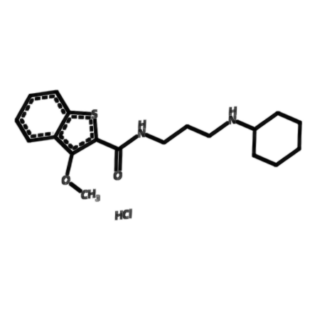 COc1c(C(=O)NCCCNC2CCCCC2)sc2ccccc12.Cl